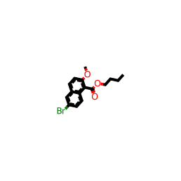 CCCCOC(=O)c1c(OC)ccc2cc(Br)ccc12